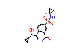 CC1(NS(=O)(=O)c2ccc3c(C(O)C4CC4)c[nH]c(=O)c3c2)CC1